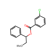 COCC(OC(=O)c1cccc(Cl)c1)c1ccccc1